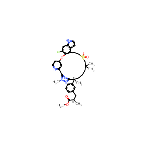 COC(=O)[C@H](C)Cc1cccc([C@@]2(C)CCCC(C)(C)CS(=O)(=O)CCc3c(c(F)cc4[nH]ccc34)Oc3ccnc(c3)-c3nc2nn3C)c1